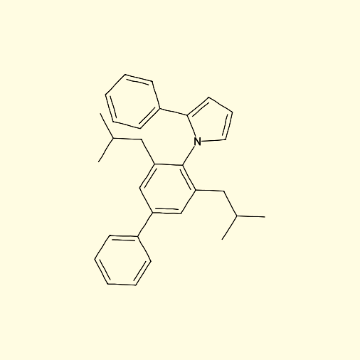 CC(C)Cc1cc(-c2ccccc2)cc(CC(C)C)c1-n1cccc1-c1ccccc1